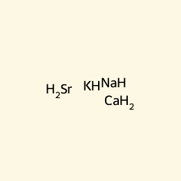 [CaH2].[KH].[NaH].[SrH2]